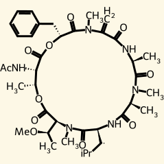 C=C1C(=O)N[C@@H](C)C(=O)N(C)[C@@H](C)C(=O)N[C@@H]([CH]C(C)C)C(=O)N(C)[C@@H]([C@@H](C)OC)C(=O)O[C@H](C)[C@H](NC(C)=O)C(=O)O[C@H](Cc2ccccc2)C(=O)N1C